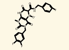 Cn1c2c(c(=O)n(Cc3ccc(F)c(F)c3)c1=O)[S+]([O-])C(C(=O)NCc1ccc(F)cc1)C(=O)N2